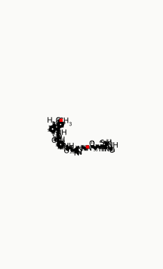 CC1(C)CCc2c1nc1c(c2NC(=O)/N=[SH](=O)/c2cccc(NC(=O)CCc3cn(CCCNC(=O)CCCC4SC[C@@H]5NC(=O)N[C@H]45)nn3)c2)CCC1